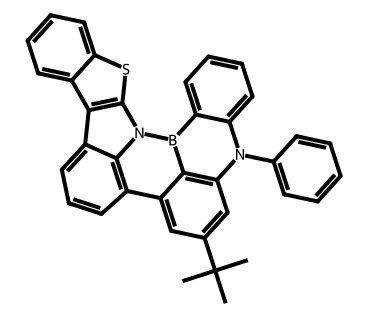 CC(C)(C)c1cc2c3c(c1)N(c1ccccc1)c1ccccc1B3n1c3sc4ccccc4c3c3cccc-2c31